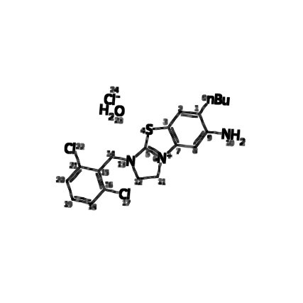 CCCCc1cc2sc3[n+](c2cc1N)CCN3Cc1c(Cl)cccc1Cl.O.[Cl-]